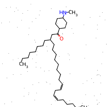 C=CCCC/C=C\C/C=C\CCCCCCCCC(CCCCCCCC)CC(=O)C1CCC(NC)CC1